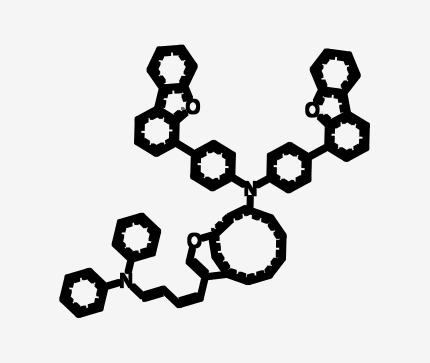 C1=C(/C=C\C=C\N(c2ccccc2)c2ccccc2)c2cccccc(N(c3ccc(-c4cccc5c4oc4ccccc45)cc3)c3ccc(-c4cccc5c4oc4ccccc45)cc3)cc(c2)O1